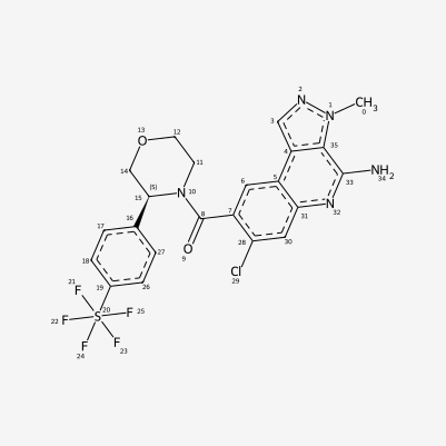 Cn1ncc2c3cc(C(=O)N4CCOC[C@@H]4c4ccc(S(F)(F)(F)(F)F)cc4)c(Cl)cc3nc(N)c21